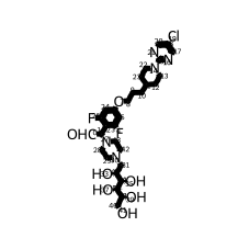 O=CC(c1c(F)cc(OCCCC2CCN(c3ncc(Cl)cn3)CC2)cc1F)N1CCN(C[C@H](O)[C@@H](O)[C@H](O)[C@H](O)CO)CC1